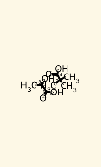 CC(C)(C)C(=O)O.CC(O)C(=O)O